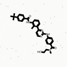 Cc1c(NC(=O)c2ccc(C(C)(C)C)cc2)cccc1-c1ccnc(Nc2ccc(C(=O)N(C)CCO)cc2)n1